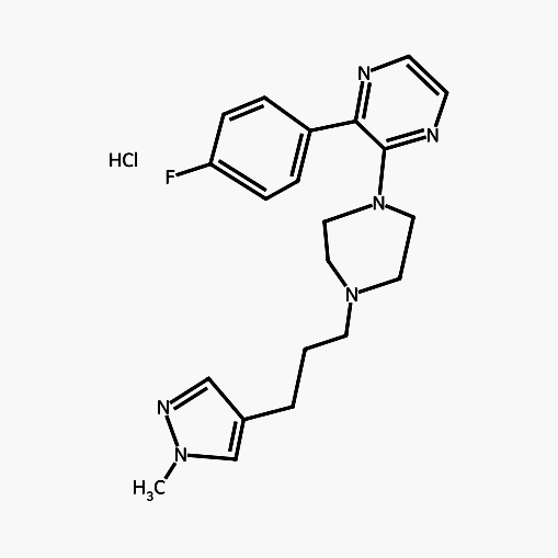 Cl.Cn1cc(CCCN2CCN(c3nccnc3-c3ccc(F)cc3)CC2)cn1